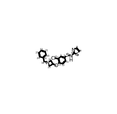 Clc1cc(SNc2nccs2)ccc1OC1CN(Cc2ccccc2)C1